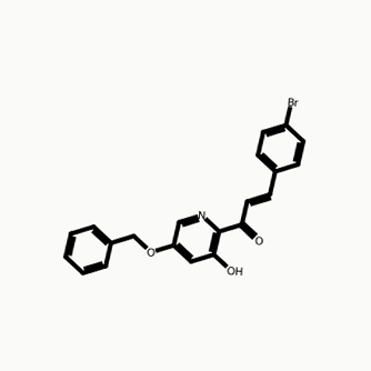 O=C(/C=C/c1ccc(Br)cc1)c1ncc(OCc2ccccc2)cc1O